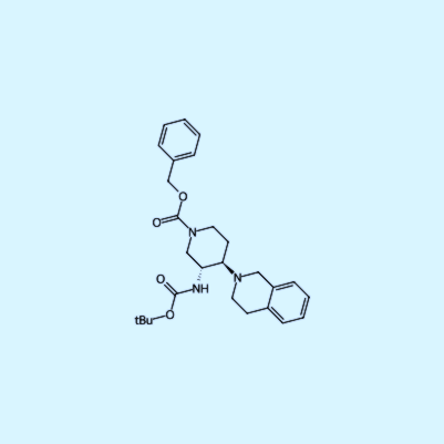 CC(C)(C)OC(=O)N[C@@H]1CN(C(=O)OCc2ccccc2)CC[C@H]1N1CCc2ccccc2C1